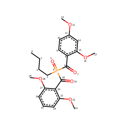 CCCCP(=O)(C(=O)c1ccc(OC)cc1OC)C(=O)c1c(OC)cccc1OC